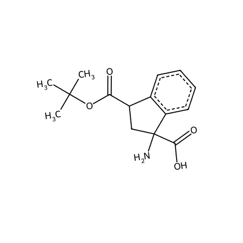 CC(C)(C)OC(=O)C1CC(N)(C(=O)O)c2ccccc21